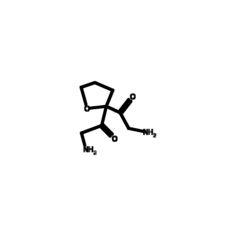 NCC(=O)C1(C(=O)CN)CCCO1